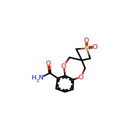 NC(=O)c1cccc2c1OCC1(CO2)CS(=O)(=O)C1